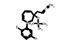 C=C=CCC1(O[Si](C)(C)C)C=CC=CN(c2cc(Cl)ccc2F)C1